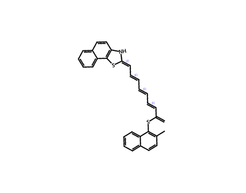 C=C(/C=C/C=C/C=C/C=C1/Nc2ccc3ccccc3c2S1)Sc1c(C)ccc2ccccc12